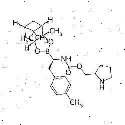 Cc1ccc(C[C@H](NC(=O)OC[C@H]2CCCN2)B2O[C@@H]3C[C@@H]4C[C@@H](C4(C)C)[C@]3(C)O2)cc1